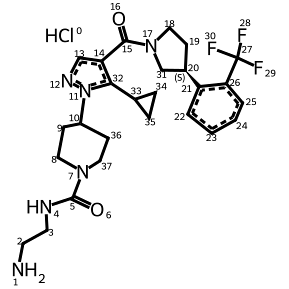 Cl.NCCNC(=O)N1CCC(n2ncc(C(=O)N3CC[C@@H](c4ccccc4C(F)(F)F)C3)c2C2CC2)CC1